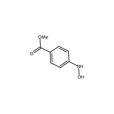 COC(=O)c1ccc(NO)cc1